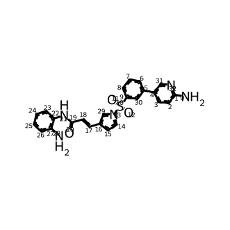 Nc1ccc(-c2cccc(S(=O)(=O)n3ccc(C=CC(=O)Nc4ccccc4N)c3)c2)cn1